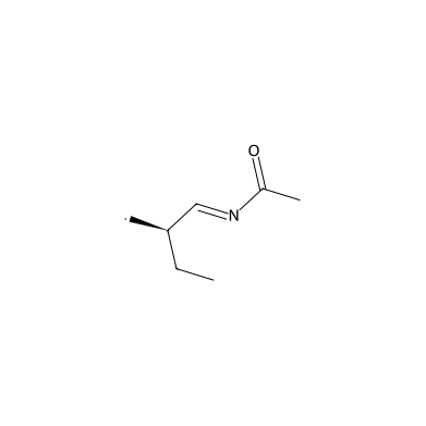 [CH2][C@@H](C=NC(C)=O)CC